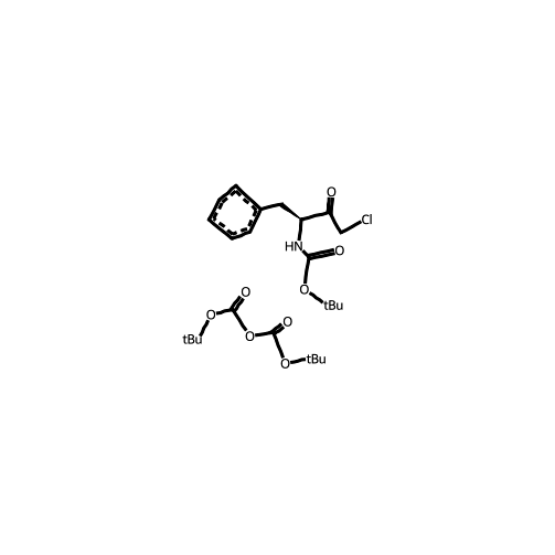 CC(C)(C)OC(=O)N[C@@H](Cc1ccccc1)C(=O)CCl.CC(C)(C)OC(=O)OC(=O)OC(C)(C)C